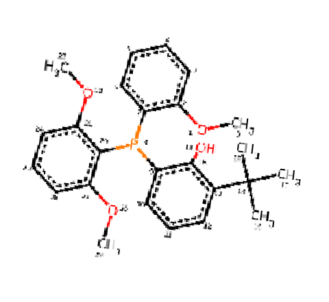 COc1ccccc1P(c1cccc(C(C)(C)C)c1O)c1c(OC)cccc1OC